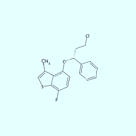 Cc1csc2c(F)ccc(O[C@H](CCCl)c3ccccc3)c12